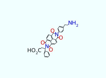 NCCc1ccc(N2C(=O)c3ccc4c5c(ccc(c35)C2=O)C(=O)N(C(CC(=O)O)c2ccccc2)C4=O)cc1